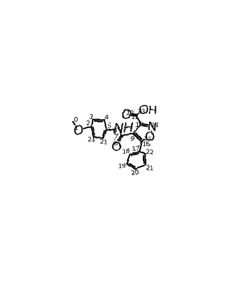 COc1ccc(NC(=O)c2c(C(=O)O)noc2-c2ccccc2)cc1